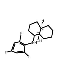 O[C@]12CCCC[C@@H]1CCCC2Nc1c(F)cc(F)cc1F